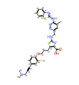 Cc1cc(CNc2nc(C(=O)O)c(CCCOc3ccc(C#CCN(C)C)cc3F)s2)nnc1Nc1nc2ccccc2s1